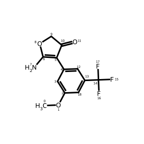 COc1cc(C2=C(N)OCC2=O)cc(C(F)(F)F)c1